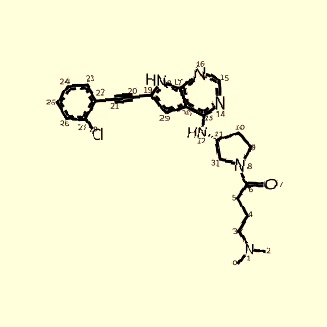 CN(C)CCCC(=O)N1CC[C@@H](Nc2ncnc3[nH]c(C#Cc4ccccc4Cl)cc23)C1